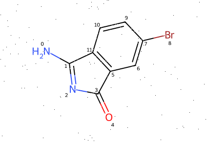 NC1=NC(=O)c2cc(Br)ccc21